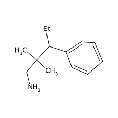 CCC(c1ccccc1)C(C)(C)CN